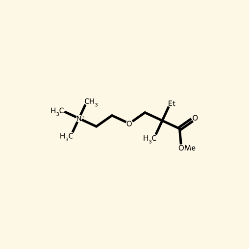 CCC(C)(COCC[N+](C)(C)C)C(=O)OC